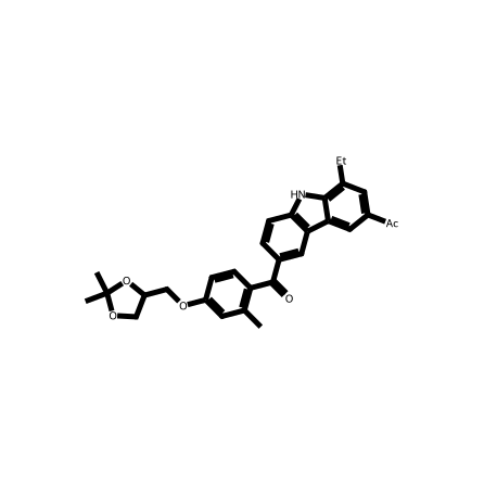 CCc1cc(C(C)=O)cc2c1[nH]c1ccc(C(=O)c3ccc(OCC4COC(C)(C)O4)cc3C)cc12